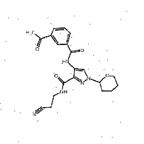 CC(=O)c1cccc(C(=O)Nc2cn(C3CCCCO3)nc2C(=O)NCCC#N)c1